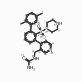 Cc1ccc(C)c(-c2cccc(-c3ccncc3CNC(N)=O)c2S(=O)(=O)N2CCNCC2)c1